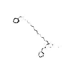 O=CC(Cc1ccccc1)NCCCCCCCCCCCCCC(NC(=O)O)(NC(=O)O)N[C@H](C=O)Cc1ccccc1